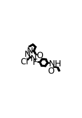 C=CC(=O)Nc1ccc(F)c(Oc2nc(Cl)nn3cccc23)c1